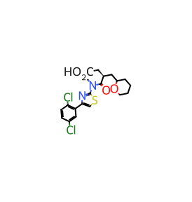 CN(C(=O)[C@@H](CC(=O)O)CC1CCCCO1)c1nc(-c2cc(Cl)ccc2Cl)cs1